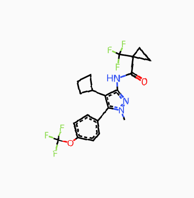 Cn1nc(NC(=O)C2(C(F)(F)F)CC2)c(C2CCC2)c1-c1ccc(OC(F)(F)F)cc1